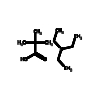 CC(C)(C)C(=O)O.CCN(CC)CC